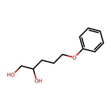 OCC(O)CCCOc1ccccc1